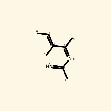 C/C=C(C)/C(C)=N\C(C)=N